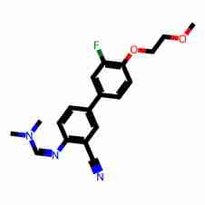 COCCOc1ccc(-c2ccc(/N=C\N(C)C)c(C#N)c2)cc1F